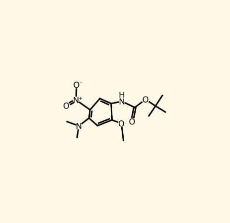 COc1cc(N(C)C)c([N+](=O)[O-])cc1NC(=O)OC(C)(C)C